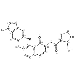 Cn1ncc2cc(Nc3c(F)ccc4ccn(CC(=O)N5CCC[C@H]5C(F)(F)F)c(=O)c34)ccc21